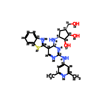 Cc1cc(NC2=NC(N[C@@H]3C[C@H](CO)[C@@H](O)[C@H]3O)C(c3nc4ccccc4s3)C=N2)cc(C)n1